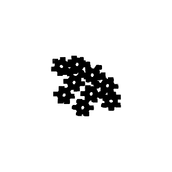 Cc1c2c(cc3c1Sc1ccc4c5ccccc5n5c4c1B3c1ccc(-c3ccccc3)cc1-5)B1c3ccc(-c4ccccc4)cc3-n3c4ccccc4c4ccc(c1c43)S2